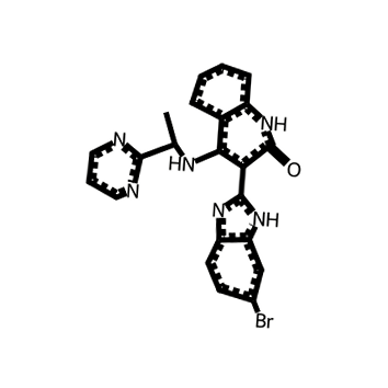 CC(Nc1c(-c2nc3ccc(Br)cc3[nH]2)c(=O)[nH]c2ccccc12)c1ncccn1